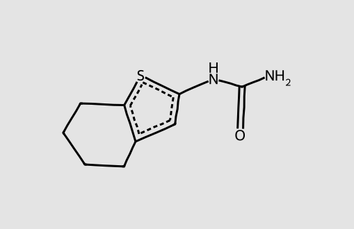 NC(=O)Nc1cc2c(s1)CCCC2